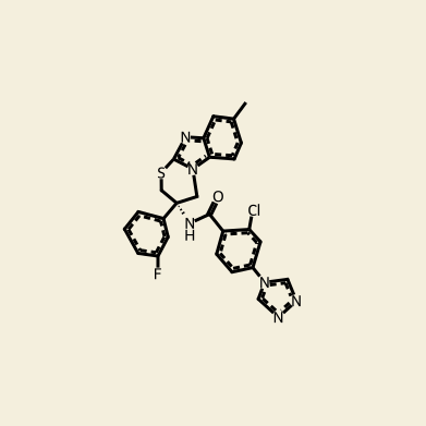 Cc1ccc2c(c1)nc1n2C[C@@](NC(=O)c2ccc(-n3cnnc3)cc2Cl)(c2cccc(F)c2)CS1